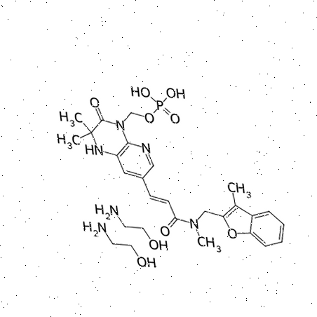 Cc1c(CN(C)C(=O)/C=C/c2cnc3c(c2)NC(C)(C)C(=O)N3COP(=O)(O)O)oc2ccccc12.NCCO.NCCO